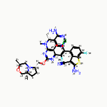 C[C@H](c1cncnc1N)N(C)c1nc(OC[C@@H]2CC[C@H]3CO[C@@H](C)CN23)nc2c(F)c(-c3ccc(F)c4sc(N)c(C#N)c34)c(Cl)cc12